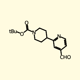 CC(C)(C)OC(=O)N1CCC(c2cc(C=O)ccn2)CC1